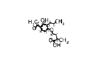 CCCc1c(OCCC(C)C(=O)O)ccc(C(C)=O)c1O